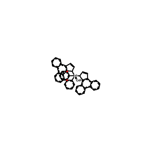 [GeH2]=[Hf]([c]1ccccc1)([c]1ccccc1)([CH]1C=Cc2c1c1ccccc1c1ccccc21)[CH]1C=Cc2c1c1ccccc1c1ccccc21